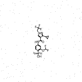 [2H]C([2H])(O)c1ccc(NC(=O)c2cn(CC(F)(F)F)nc2C2CC2)cc1OC(F)F